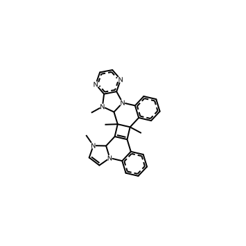 CN1C=CN2c3ccccc3C3=C(C12)C1(C)C2N(C)c4nccnc4N2c2ccccc2C31C